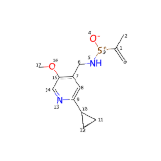 C=C(C)[S+]([O-])NCc1cc(C2CC2)ncc1OC